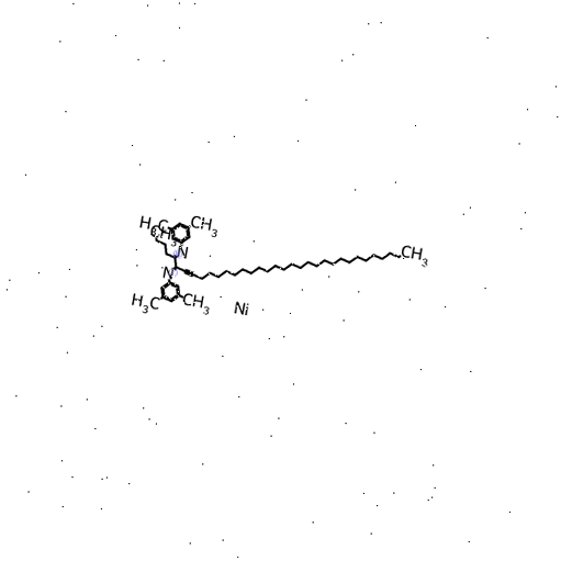 CCCCCCCCCCCCCCCCCCCCCCCCCCC#CC(=N\c1cc(C)cc(C)c1)/C(CCCC)=N/c1cc(C)cc(C)c1.[Ni]